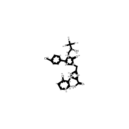 NC(=O)c1nc(Cn2nc(-c3ccc(Cl)cc3)n(C[C@H](O)C(F)(F)F)c2=O)nn1-c1cnccc1Cl